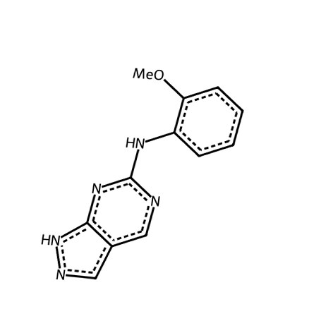 COc1ccccc1Nc1ncc2cn[nH]c2n1